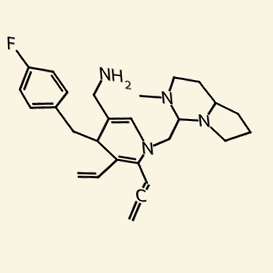 C=C=CC1=C(C=C)C(Cc2ccc(F)cc2)C(CN)=CN1CC1N(C)CCC2CCCN21